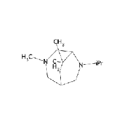 CC(C)N1CC2CN(C)CC1C(C)(C)C2